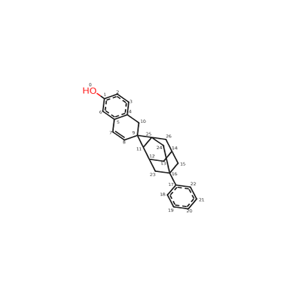 Oc1ccc2c(c1)C=CC1(C2)C2C3CC4CC(c5ccccc5)(C3)CC21C4